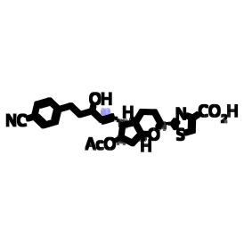 CC(=O)O[C@@H]1C[C@@H]2O[C@@H](c3nc(C(=O)O)cs3)CC[C@@H]2[C@H]1/C=C/C(O)CCc1ccc(C#N)cc1